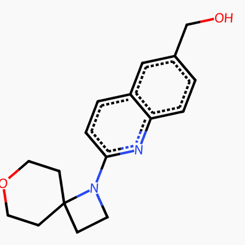 OCc1ccc2nc(N3CCC34CCOCC4)ccc2c1